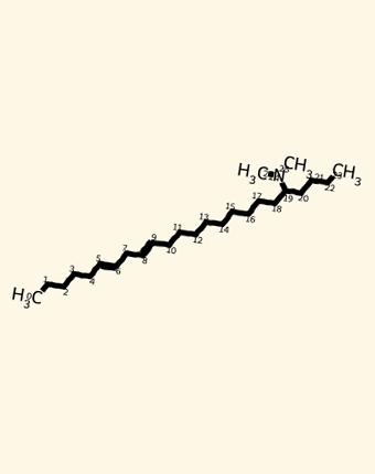 CCCCC/C=C/C/C=C/CCCCCCCCCC(CCCC)N(C)C